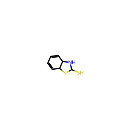 SC1NC2C=CC=CC2S1